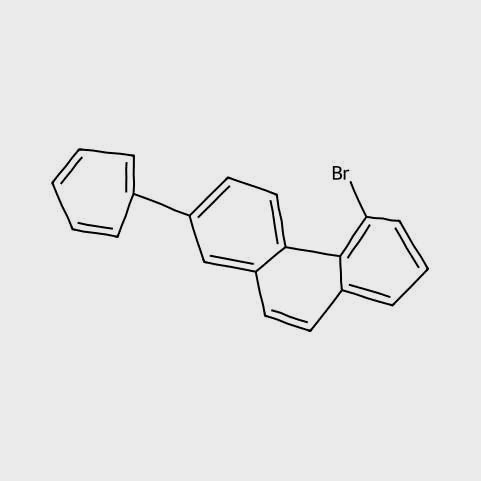 Brc1cccc2ccc3cc(-c4ccccc4)ccc3c12